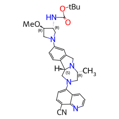 CO[C@@H]1CN(c2ccc3c(c2)CN2[C@H](C)CN(c4ccc(C#N)c5ncccc45)C[C@H]32)C[C@H]1NC(=O)OC(C)(C)C